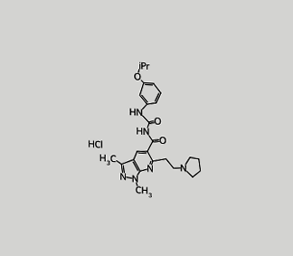 Cc1nn(C)c2nc(CCN3CCCC3)c(C(=O)NC(=O)Nc3cccc(OC(C)C)c3)cc12.Cl